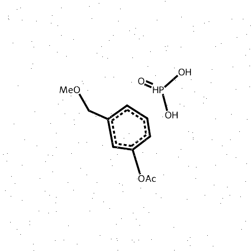 COCc1cccc(OC(C)=O)c1.O=[PH](O)O